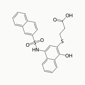 O=C(O)CCSc1cc(NS(=O)(=O)c2ccc3ccccc3c2)c2ccccc2c1O